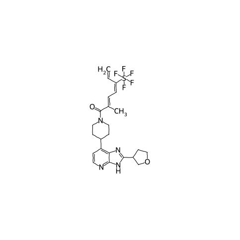 C=C/C(=C\C=C(/C)C(=O)N1CCC(c2ccnc3[nH]c(C4CCOC4)nc23)CC1)S(F)(F)(F)(F)F